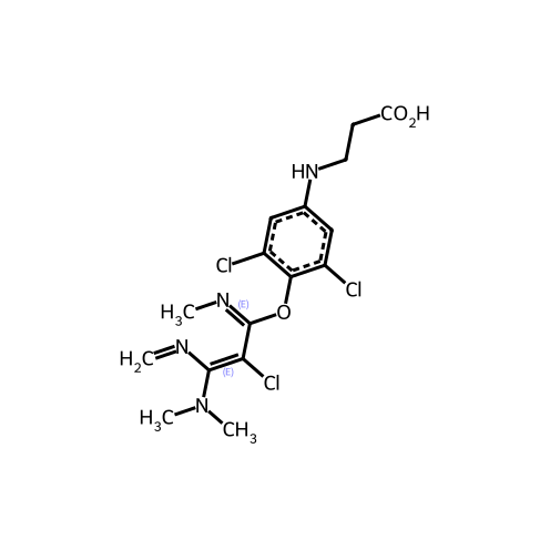 C=N/C(=C(Cl)\C(=N/C)Oc1c(Cl)cc(NCCC(=O)O)cc1Cl)N(C)C